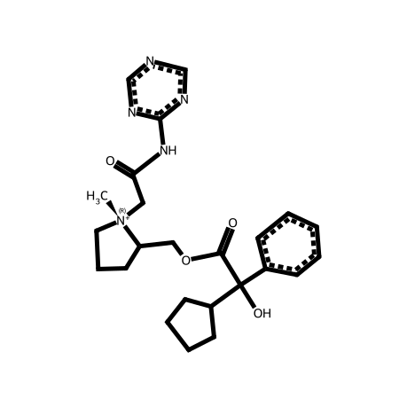 C[N@+]1(CC(=O)Nc2ncncn2)CCCC1COC(=O)C(O)(c1ccccc1)C1CCCC1